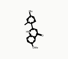 COc1ccc2[nH]c(-c3ccc(C(C)(C)C)cc3C)cc(=O)c2c1